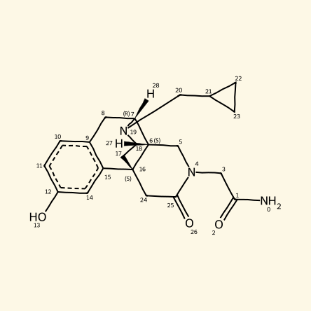 NC(=O)CN1C[C@H]2[C@H]3Cc4ccc(O)cc4[C@@]2(CCN3CC2CC2)CC1=O